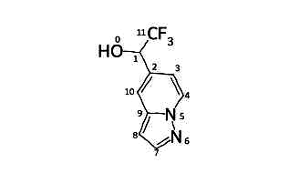 OC(c1ccn2nccc2c1)C(F)(F)F